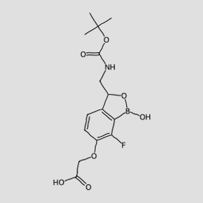 CC(C)(C)OC(=O)NCC1OB(O)c2c1ccc(OCC(=O)O)c2F